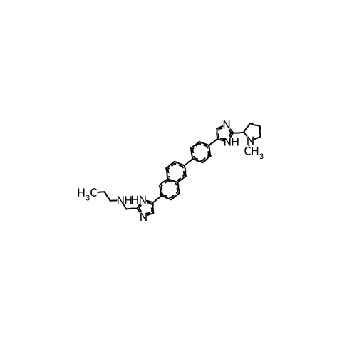 CCCNCc1ncc(-c2ccc3cc(-c4ccc(-c5cnc(C6CCCN6C)[nH]5)cc4)ccc3c2)[nH]1